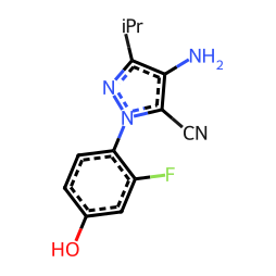 CC(C)c1nn(-c2ccc(O)cc2F)c(C#N)c1N